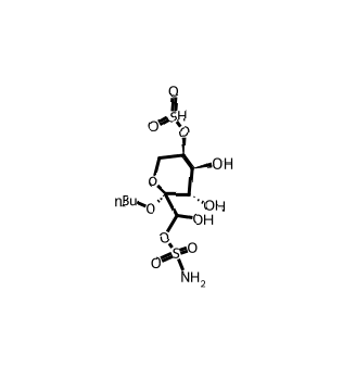 CCCCO[C@]1(C(O)OS(N)(=O)=O)OC[C@@H](O[SH](=O)=O)[C@@H](O)[C@@H]1O